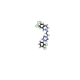 Clc1cc2c(cc1Cl)CN(CCCN1CCN(c3cccc(Cl)c3Cl)CC1)CC2